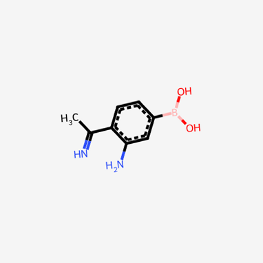 CC(=N)c1ccc(B(O)O)cc1N